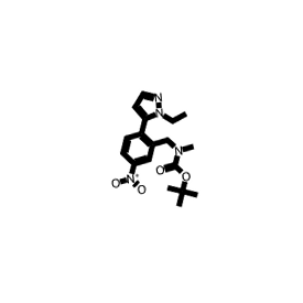 CCn1nccc1-c1ccc([N+](=O)[O-])cc1CN(C)C(=O)OC(C)(C)C